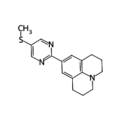 CSc1cnc(-c2cc3c4c(c2)CCCN4CCC3)nc1